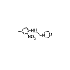 Cc1ccc(NCCCN2CCOCC2)c([N+](=O)[O-])c1